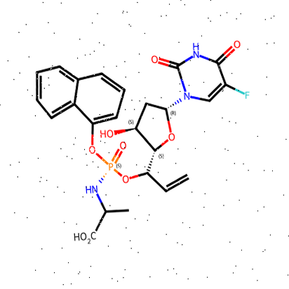 C=CC(O[P@@](=O)(NC(C)C(=O)O)Oc1cccc2ccccc12)[C@H]1O[C@@H](n2cc(F)c(=O)[nH]c2=O)C[C@@H]1O